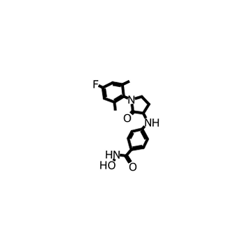 Cc1cc(F)cc(C)c1N1CCC(Nc2ccc(C(=O)NO)cc2)C1=O